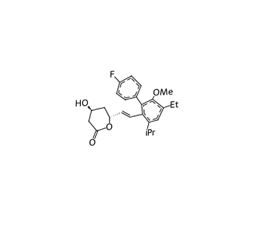 CCc1cc(C(C)C)c(C=C[C@H]2C[C@H](O)CC(=O)O2)c(-c2ccc(F)cc2)c1OC